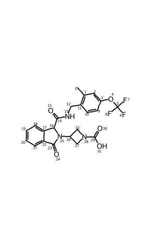 Cc1cc(OC(F)(F)F)ccc1CNC(=O)C1c2ccccc2C(=O)N1C1CN(C(=O)O)C1